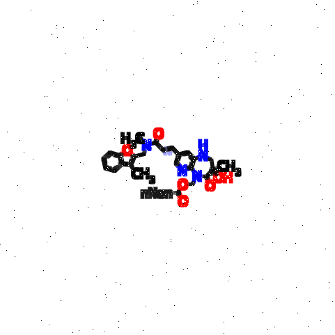 CCCCCCCCCC(=O)OCN1C(=O)[C@](C)(O)CNc2cc(/C=C/C(=O)N(C)Cc3oc4ccccc4c3C)cnc21